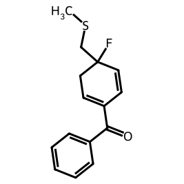 CSCC1(F)C=CC(C(=O)c2ccccc2)=CC1